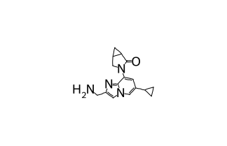 NCc1cn2cc(C3CC3)cc(N3CC4CC4C3=O)c2n1